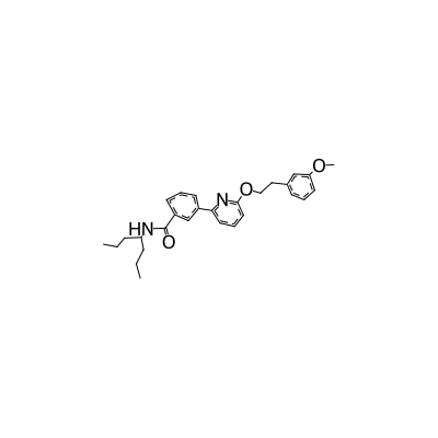 CCCC(CCC)NC(=O)c1cccc(-c2cccc(OCCc3cccc(OC)c3)n2)c1